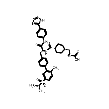 Cc1ccc(S(=O)(=O)N(C)C)cc1-c1ccc(C[C@H](NC(=O)[C@H]2CC[C@H](CNC(=O)O)CC2)C(=O)Nc2ccc(-c3nnn[nH]3)cc2)cc1